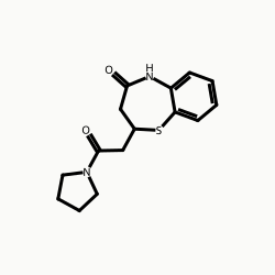 O=C1CC(CC(=O)N2CCCC2)Sc2ccccc2N1